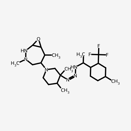 CC1CCC(C(C)N/N=N\C2(C)CN(C3CN(C)NC4OC4C3C)CCC2C)C(C(F)(F)F)C1